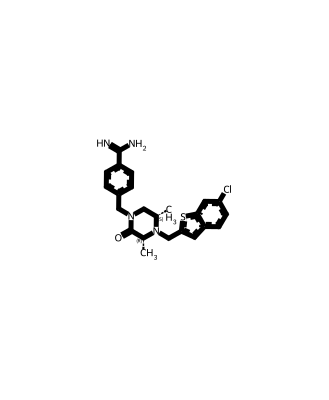 C[C@@H]1C(=O)N(Cc2ccc(C(=N)N)cc2)C[C@H](C)N1Cc1cc2ccc(Cl)cc2s1